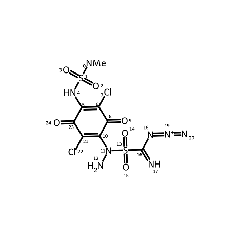 CNS(=O)(=O)NC1=C(Cl)C(=O)C(N(N)S(=O)(=O)C(=N)N=[N+]=[N-])=C(Cl)C1=O